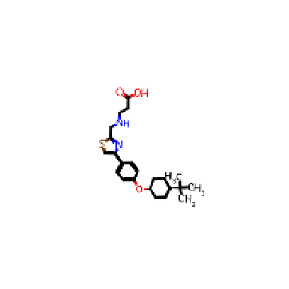 CC(C)(C)[C@H]1CC[C@H](Oc2ccc(-c3csc(CNCCC(=O)O)n3)cc2)CC1